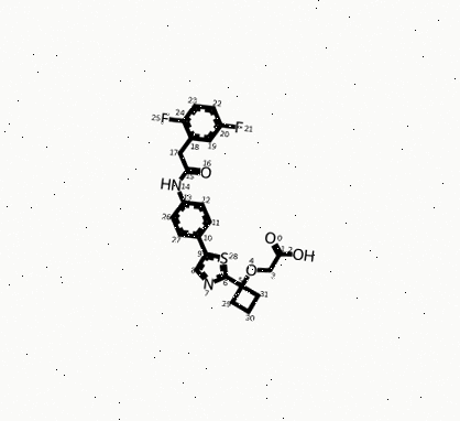 O=C(O)COC1(c2ncc(-c3ccc(NC(=O)Cc4cc(F)ccc4F)cc3)s2)CCC1